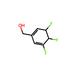 OCC1=CC(F)C(F)C(F)=C1